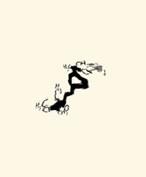 COC(C)(C)C(=O)CCc1ccc(C(C)(C)C)cc1